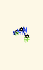 Cc1c(CCNc2nnc(C)c3ccc(N4CC[C@H](N(C)C)C(F)(F)C4)cc23)cccc1C(F)(F)F